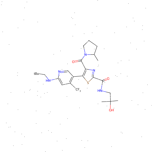 CC1CCCN1C(=O)c1nc(C(=O)NCC(C)(C)O)sc1-c1cnc(NCC(C)(C)C)cc1C(F)(F)F